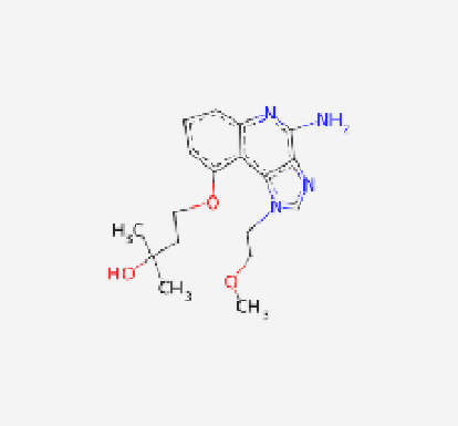 COCCn1cnc2c(N)nc3cccc(OCCC(C)(C)O)c3c21